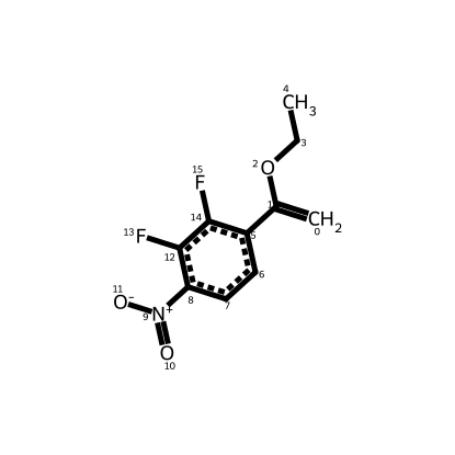 C=C(OCC)c1ccc([N+](=O)[O-])c(F)c1F